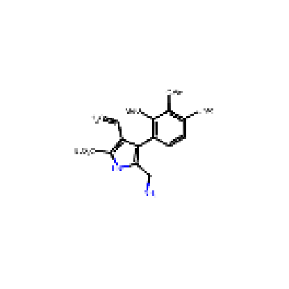 C=Cc1c(C(=O)OCC)[nH]c(CN)c1-c1ccc(OC)c(OC)c1OC